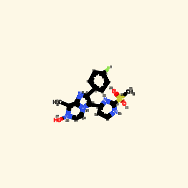 Cc1c2nc(-c3ccc(F)cc3)c(-c3ccnc(S(C)(=O)=O)n3)n2cc[n+]1O